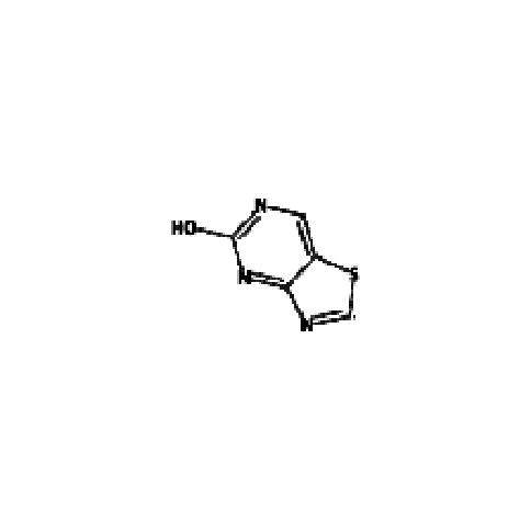 Oc1ncc2s[c]nc2n1